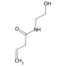 C=CCC(=O)NCCO